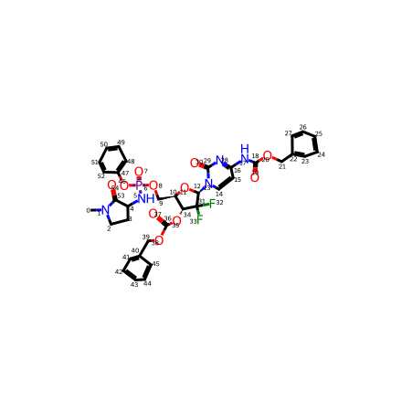 CN1CCC(NP(=O)(OC[C@H]2O[C@@H](n3ccc(NC(=O)OCc4ccccc4)nc3=O)C(F)(F)[C@@H]2OC(=O)OCc2ccccc2)Oc2ccccc2)C1=O